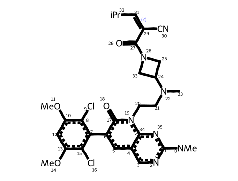 CNc1ncc2cc(-c3c(Cl)c(OC)cc(OC)c3Cl)c(=O)n(CCN(C)C3CN(C(=O)/C(C#N)=C\C(C)C)C3)c2n1